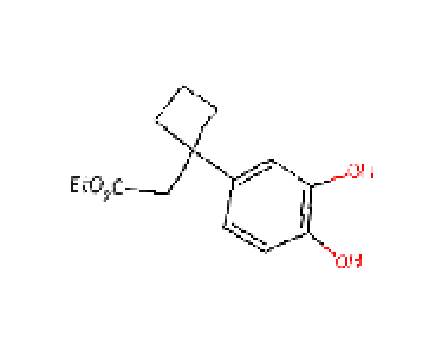 CCOC(=O)CC1(c2ccc(O)c(O)c2)CCC1